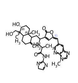 C=C1CCC2[C@](C)(CC[C@@H](O)[C@@]2(C)CO)C1CC(NC(C)C(=O)NC1=NCC=N1)C1=C/C(=C\c2cnc3c(c2)ncn3C)OC1=O